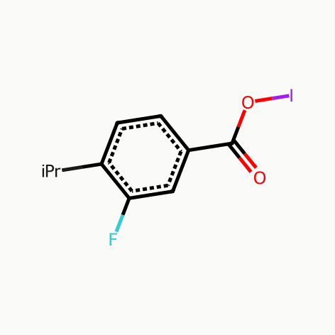 CC(C)c1ccc(C(=O)OI)cc1F